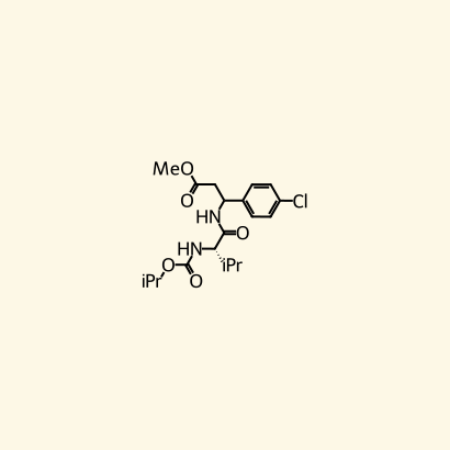 COC(=O)CC(NC(=O)[C@@H](NC(=O)OC(C)C)C(C)C)c1ccc(Cl)cc1